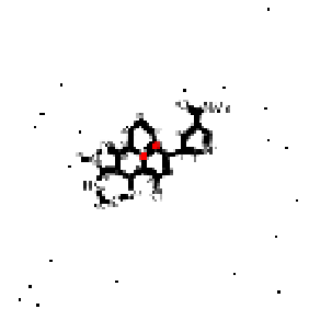 CNC(=O)c1cncc(-c2ccc(C3SCCNc4c3c(-c3ccccn3)nn4C)c(Cl)c2)c1